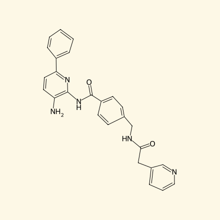 Nc1ccc(-c2ccccc2)nc1NC(=O)c1ccc(CNC(=O)Cc2cccnc2)cc1